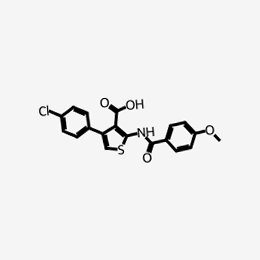 COc1ccc(C(=O)Nc2scc(-c3ccc(Cl)cc3)c2C(=O)O)cc1